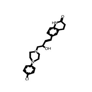 O=C1CCc2cc(C=CC(O)CN3CCN(c4ccc(Cl)cc4)CC3)ccc2N1